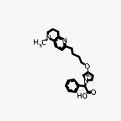 CN1CCCc2nc(CCCCO[C@@H]3CCN(C(C(=O)O)c4ccccc4)C3)ccc21